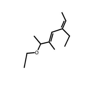 C/C=C(\C=C(/C)C(C)OCC)CC